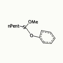 CCCCC[Si](OC)Oc1ccccc1